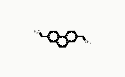 C=Cc1ccc2c(ccc3cc(C=C)ccc32)c1